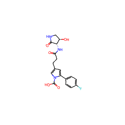 O=C(CCc1cc(-c2ccc(F)cc2)n(C(=O)O)c1)N[C@@H]1C(=O)NC[C@H]1O